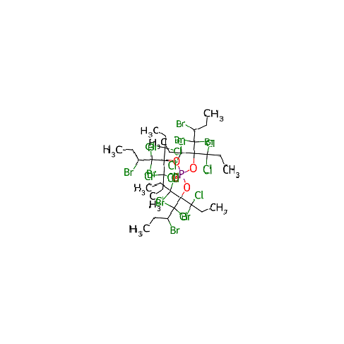 CCC(Br)C(Br)(Br)C(OP(=O)(OC(C(Cl)(Cl)CC)(C(Cl)(Cl)CC)C(Br)(Br)C(Br)CC)OC(C(Cl)(Cl)CC)(C(Cl)(Cl)CC)C(Br)(Br)C(Br)CC)(C(Cl)(Cl)CC)C(Cl)(Cl)CC